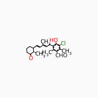 CC(/C=C/C1CCCC(=O)[C@@H]1C)=C\Cc1c(C)c(C=O)c(C)c(Cl)c1O